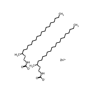 CCCCCCCCCCCCCCCCCC(C)SSNC(=O)[O-].CCCCCCCCCCCCCCCCCC(C)SSNC(=O)[O-].[Zn+2]